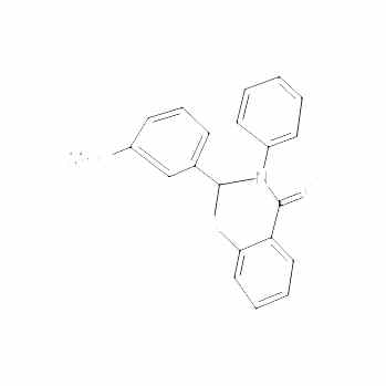 COc1cccc(C2Sc3ccccc3C(=O)N2c2ccccc2)c1